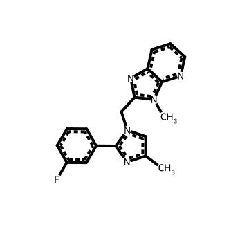 Cc1cn(Cc2nc3cccnc3n2C)c(-c2cccc(F)c2)n1